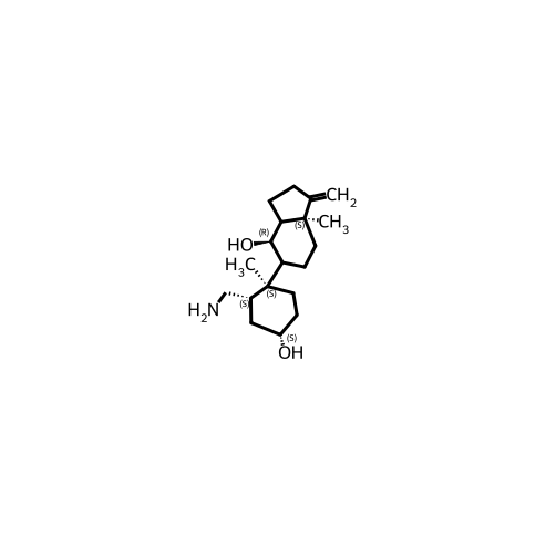 C=C1CCC2[C@H](O)C([C@@]3(C)CC[C@H](O)C[C@@H]3CN)CC[C@]12C